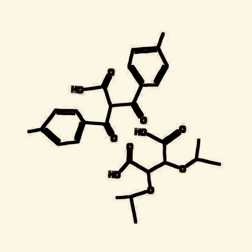 CC(C)OC(C(=O)O)C(OC(C)C)C(=O)O.Cc1ccc(C(=O)C(C(=O)O)C(=O)c2ccc(C)cc2)cc1